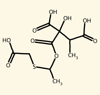 CC(OC(=O)C(O)(C(=O)O)C(C)C(=O)O)SCC(=O)O